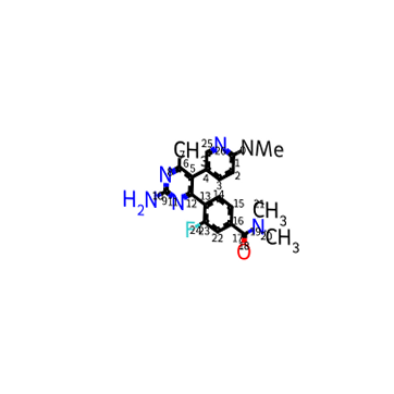 CNc1ccc(-c2c(C)nc(N)nc2-c2ccc(C(=O)N(C)C)cc2F)cn1